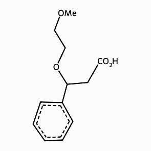 COCCOC(CC(=O)O)c1ccccc1